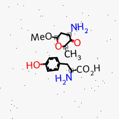 CO[C@H]1C[C@H](N)C(=O)[C@H](C)O1.N[C@@H](Cc1ccc(O)cc1)C(=O)O